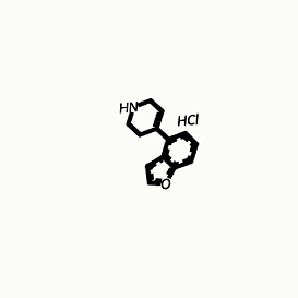 C1=C(c2cccc3occc23)CCNC1.Cl